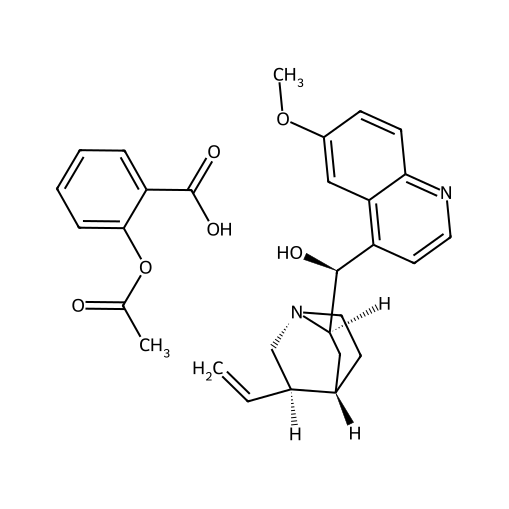 C=C[C@H]1C[N@]2CC[C@H]1C[C@@H]2[C@@H](O)c1ccnc2ccc(OC)cc12.CC(=O)Oc1ccccc1C(=O)O